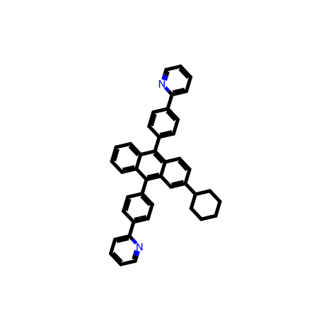 c1ccc(-c2ccc(-c3c4ccccc4c(-c4ccc(-c5ccccn5)cc4)c4cc(C5CCCCC5)ccc34)cc2)nc1